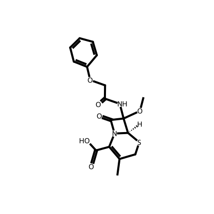 COC1(NC(=O)COc2ccccc2)C(=O)N2C(C(=O)O)=C(C)CS[C@@H]21